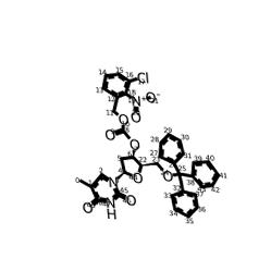 Cc1cn([C@H]2C[C@@H](OC(=O)OCc3cccc(Cl)c3[N+](=O)[O-])[C@@H](COC(c3ccccc3)(c3ccccc3)c3ccccc3)O2)c(=O)[nH]c1=O